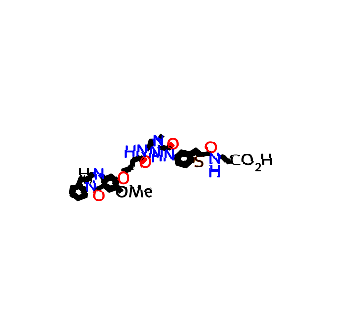 COc1cc2c(cc1OCCCC(=O)Nc1cn(C)c(C(=O)Nc3ccc4sc(C(=O)NCCC(=O)O)cc4c3)n1)N=C[C@@H]1Cc3ccccc3N1C2=O